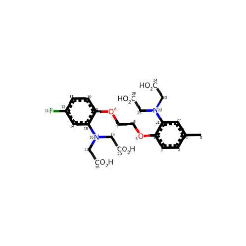 Cc1ccc(OCCOc2ccc(F)cc2N(CC(=O)O)CC(=O)O)c(N(CC(=O)O)CC(=O)O)c1